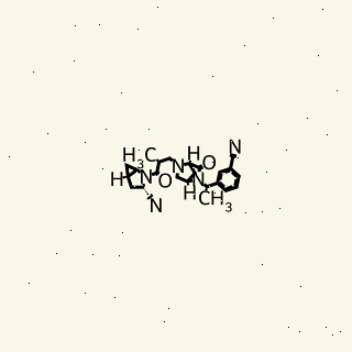 C[C@H](c1cccc(C#N)c1)N1C(=O)[C@@H]2C[C@H]1CN2C[C@H](C)C(=O)N1C2C[C@H]2C[C@H]1C#N